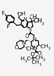 C[C@@H]1COCCN1C[C@H]1CN(C(=O)OC(C)(C)C)[C@H](C)CN1CC(=O)N1CC(C)(C)c2nc(CO)c(Cc3ccc(F)cc3F)cc21